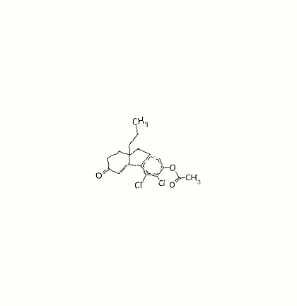 CCCC12CCC(=O)C=C1c1c(cc(OC(C)=O)c(Cl)c1Cl)C2